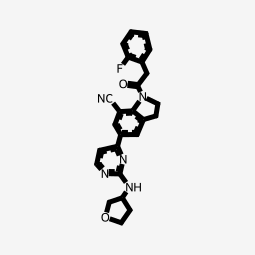 N#Cc1cc(-c2ccnc(NC3CCOC3)n2)cc2c1N(C(=O)Cc1ccccc1F)CC2